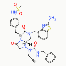 C#CCN(C(=O)NCc1ccccc1)N1CC(=O)N2[C@@H](Cc3ccc(NS(C)(=O)=O)cc3)C(=O)N(Cc3cccc4sc(N)nc34)C[C@@H]21